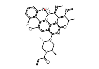 C=CC(=O)N1C[C@H](C)N(c2nc(=O)n(C(/C(=N\C)C(C)C)=C(/N=C)C(C)C)c3nc(-c4c(N)cccc4F)c(Cl)cc23)C[C@H]1C